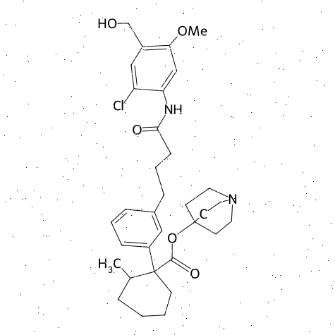 COc1cc(NC(=O)CCCc2cccc(C3(C(=O)OC45CCN(CC4)CC5)CCCCC3C)c2)c(Cl)cc1CO